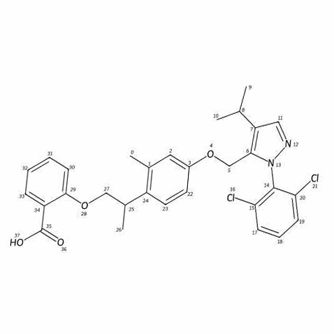 Cc1cc(OCc2c(C(C)C)cnn2-c2c(Cl)cccc2Cl)ccc1C(C)COc1ccccc1C(=O)O